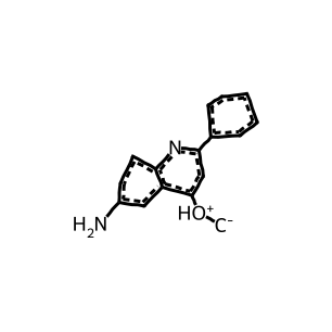 [CH2-][OH+]c1cc(-c2ccccc2)nc2ccc(N)cc12